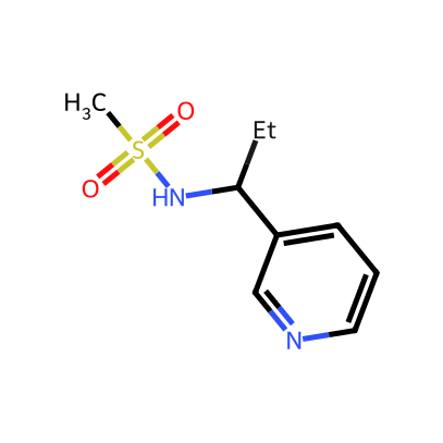 [CH2]CC(NS(C)(=O)=O)c1cccnc1